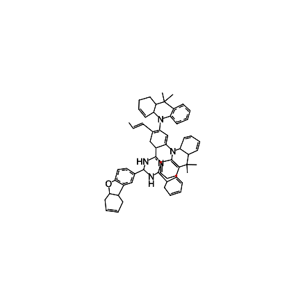 C/C=C/C1=C(N2c3ccccc3C(C)(C)C3CCC=CC32)C=C(N2C3=C(CCC=C3)C(C)(C)C3C=CC=CC32)C(C2=NC(C3C=CC=CC3)NC(c3ccc4c(c3)C3CC=CCC3O4)N2)C1